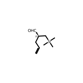 C=CC[C@@H](C=O)C[Si](C)(C)C